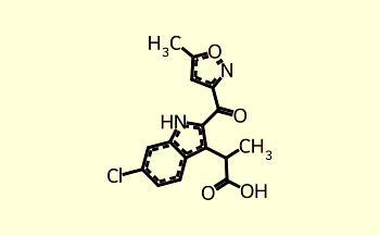 Cc1cc(C(=O)c2[nH]c3cc(Cl)ccc3c2C(C)C(=O)O)no1